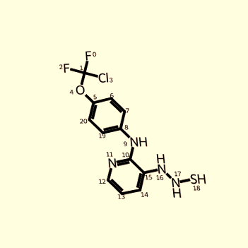 FC(F)(Cl)Oc1ccc(Nc2ncccc2NNS)cc1